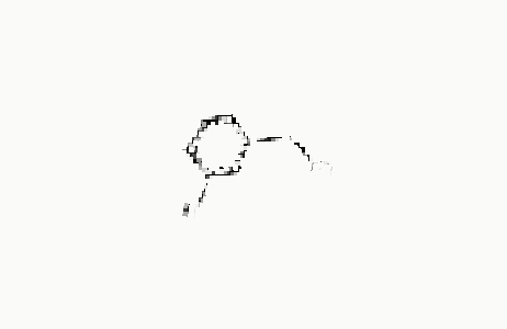 CC(C)c1cccc(SC(F)(F)F)c1